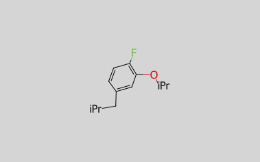 CC(C)Cc1ccc(F)c(OC(C)C)c1